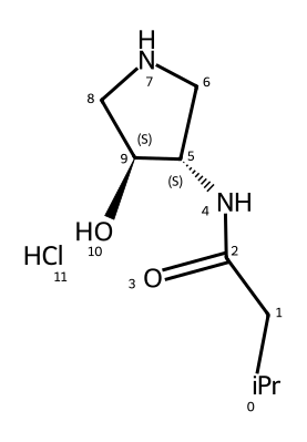 CC(C)CC(=O)N[C@H]1CNC[C@@H]1O.Cl